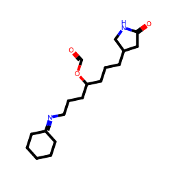 O=COC(CCCN=C1CCCCC1)CCCC1CNC(=O)C1